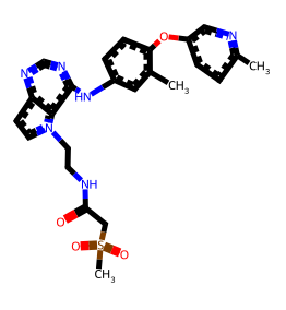 Cc1ccc(Oc2ccc(Nc3ncnc4ccn(CCNC(=O)CS(C)(=O)=O)c34)cc2C)cn1